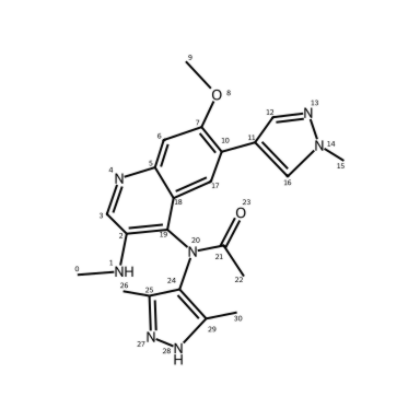 CNc1cnc2cc(OC)c(-c3cnn(C)c3)cc2c1N(C(C)=O)c1c(C)n[nH]c1C